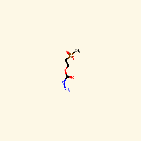 CS(=O)(=O)CCOC(=O)NN